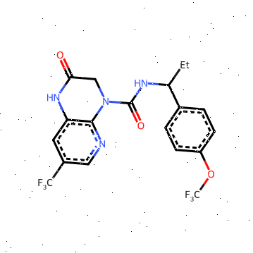 CCC(NC(=O)N1CC(=O)Nc2cc(C(F)(F)F)cnc21)c1ccc(OC(F)(F)F)cc1